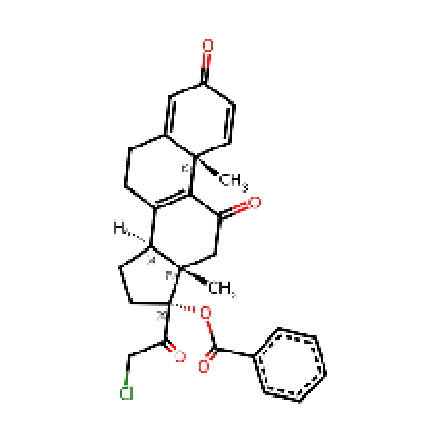 C[C@]12C=CC(=O)C=C1CCC1=C2C(=O)C[C@@]2(C)[C@H]1CC[C@]2(OC(=O)c1ccccc1)C(=O)CCl